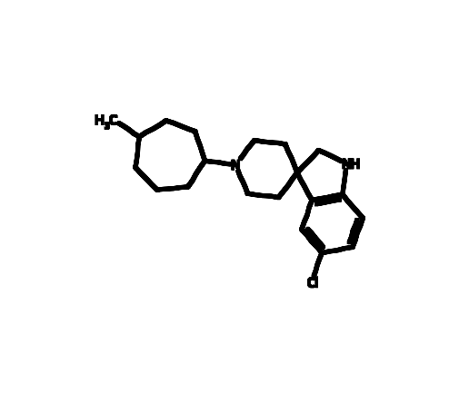 CC1CCCC(N2CCC3(CC2)CNc2ccc(Cl)cc23)CC1